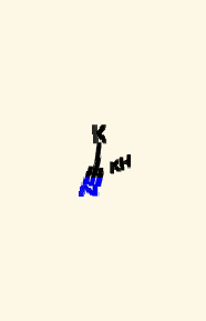 N#[C][K].[KH]